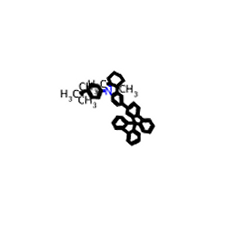 CC(C)(C)c1ccc(N2c3ccc(-c4ccc5c(c4)C4(c6ccccc6-c6ccccc64)c4ccccc4-5)cc3C3(C)CCCCC23C)cc1